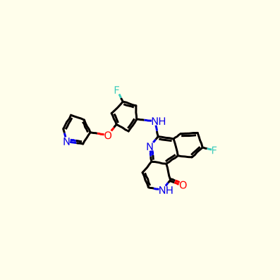 O=c1[nH]ccc2nc(Nc3cc(F)cc(Oc4cccnc4)c3)c3ccc(F)cc3c12